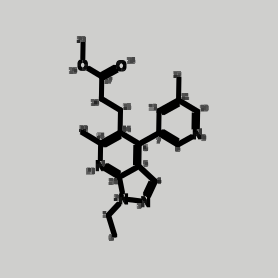 CCn1ncc2c(-c3cncc(C)c3)c(CCC(=O)OC)c(C)nc21